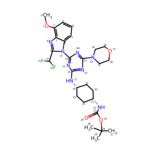 COc1cccc2c1nc(C(F)F)n2-c1nc(N[C@H]2CC[C@@H](NC(=O)OC(C)(C)C)CC2)nc(N2CCOCC2)n1